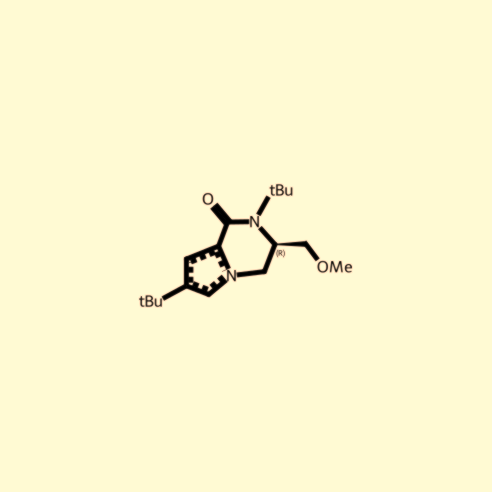 COC[C@H]1Cn2cc(C(C)(C)C)cc2C(=O)N1C(C)(C)C